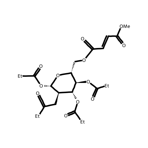 CCC(=O)C[C@H]1[C@H](OC(=O)CC)O[C@H](COC(=O)/C=C/C(=O)OC)[C@@H](OC(=O)CC)[C@@H]1OC(=O)CC